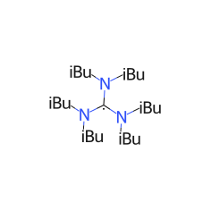 CCC(C)N([C](N(C(C)CC)C(C)CC)N(C(C)CC)C(C)CC)C(C)CC